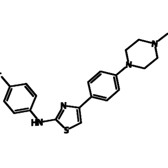 CN1CCN(c2ccc(-c3csc(Nc4ccc(Br)cc4)n3)cc2)CC1